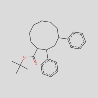 CC(C)(C)OC(=O)C1CCCCCCC(c2ccccc2)CC1c1ccccc1